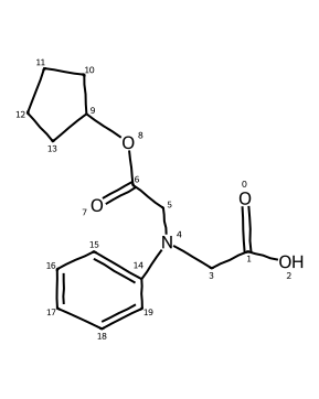 O=C(O)CN(CC(=O)OC1CCCC1)c1ccccc1